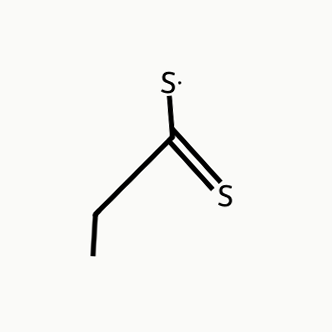 CCC([S])=S